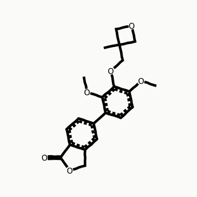 COc1ccc(-c2ccc3c(c2)COC3=O)c(OC)c1OCC1(C)COC1